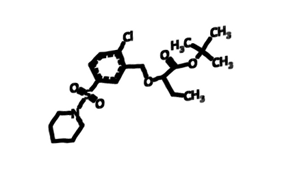 CCC(OCc1cc(S(=O)(=O)N2CCCCC2)ccc1Cl)C(=O)OC(C)(C)C